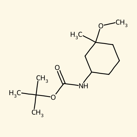 COC1(C)CCCC(NC(=O)OC(C)(C)C)C1